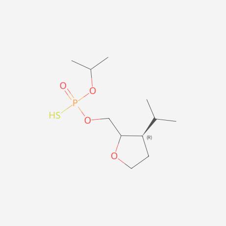 CC(C)OP(=O)(S)OCC1OCC[C@@H]1C(C)C